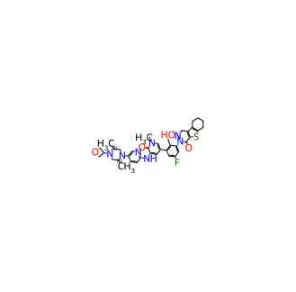 C[C@@H]1CN(c2ccc(Nc3cc(-c4cc(F)cc(-n5ncc6c7c(sc6c5=O)CCCC7)c4CO)cn(C)c3=O)nc2)[C@@H](C)CN1C1COC1